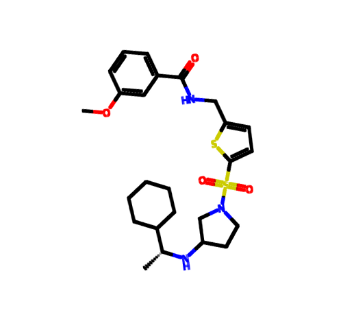 COc1cccc(C(=O)NCc2ccc(S(=O)(=O)N3CCC(N[C@H](C)C4CCCCC4)C3)s2)c1